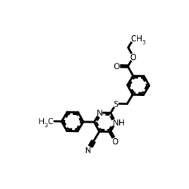 CCOC(=O)c1cccc(CSc2nc(-c3ccc(C)cc3)c(C#N)c(=O)[nH]2)c1